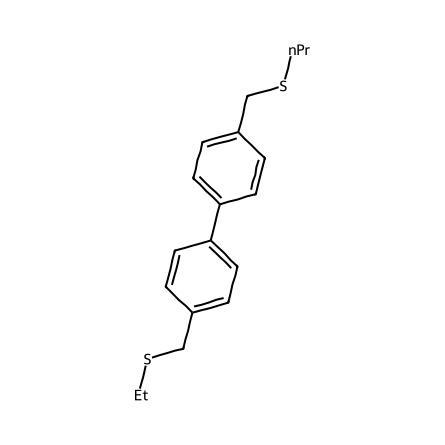 CCCSCc1ccc(-c2ccc(CSCC)cc2)cc1